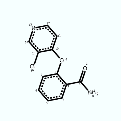 NC(=O)c1ccccc1Oc1ccncc1Cl